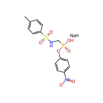 Cc1ccc(S(=O)(=O)NCP(=O)(O)Oc2ccc([N+](=O)[O-])cc2)cc1.[NaH]